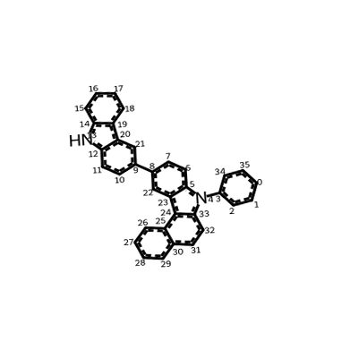 c1ccc(-n2c3ccc(-c4ccc5[nH]c6ccccc6c5c4)cc3c3c4ccccc4ccc32)cc1